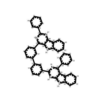 c1ccc(-c2nc(-c3cccc(-c4cccc(-c5nc(-c6ccccc6)c6c(n5)sc5ccccc56)c4)c3)c3sc4ccccc4c3n2)cc1